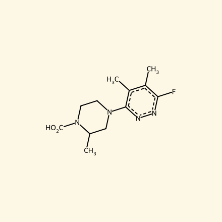 Cc1c(F)nnc(N2CCN(C(=O)O)C(C)C2)c1C